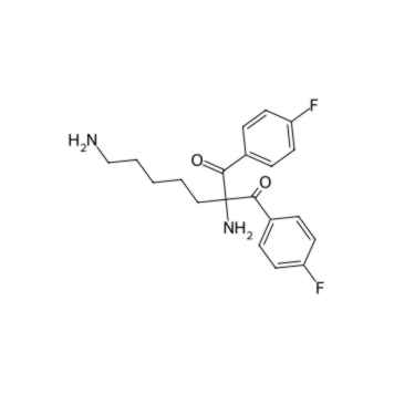 NCCCCCC(N)(C(=O)c1ccc(F)cc1)C(=O)c1ccc(F)cc1